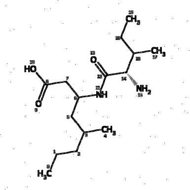 CCCC(C)CC(CC(=O)O)NC(=O)[C@@H](N)C(C)CC